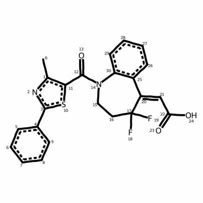 Cc1nc(-c2ccccc2)sc1C(=O)N1CCC(F)(F)/C(=C\C(=O)O)c2ccccc21